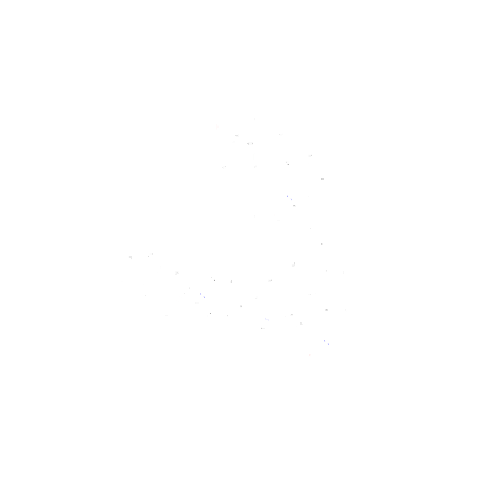 Cc1onc(-c2cccc(-c3ccc(C(=O)N4CCOCC4)cc3)c2)c1-c1csc(C2CCN(C(=O)Cc3cccs3)CC2)n1.O=C(O)C(F)(F)F